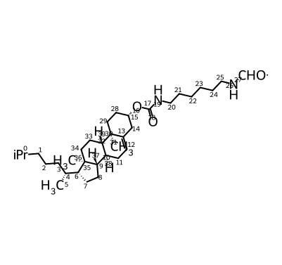 CC(C)CCC[C@@H](C)[C@H]1CC[C@H]2[C@@H]3CC=C4C[C@@H](OC(=O)NCCCCCCN[C]=O)CC[C@]4(C)[C@H]3CC[C@]12C